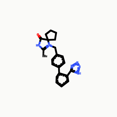 CCCCC1=[N+](Cc2ccc(-c3ccccc3-c3nnn[nH]3)cc2)C2(CCCC2)C(=O)N1